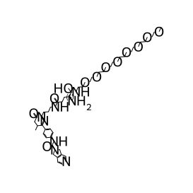 COCCOCCOCCOCCOCCOCCOCCOCCNC(O)[C@@H](N)CCC(=O)NCCCN1N=C(c2ccc(NC(=O)N3Cc4ccncc4C3)cc2)C(C)CC1=O